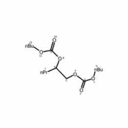 CCCCOC(=O)OCC(CCC)OC(=O)OCCCC